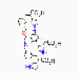 O=C(O)C(Cc1cccc(COCCN(Cc2cccc(CC(C(=O)O)C3CCNC3)c2)Cc2cccc(CC(C(=O)O)C3CCNC3)c2)c1)C1CCNC1